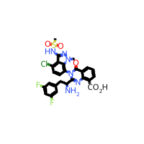 Cn1nc(NS(C)(=O)=O)c2c(Cl)ccc(-n3c(C(N)Cc4cc(F)cc(F)c4)nc4c(C(=O)O)cccc4c3=O)c21